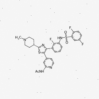 CC(=O)Nc1cc(-c2sc(C3CCN(C)CC3)nc2-c2cccc(NS(=O)(=O)c3cc(F)ccc3F)c2F)ccn1